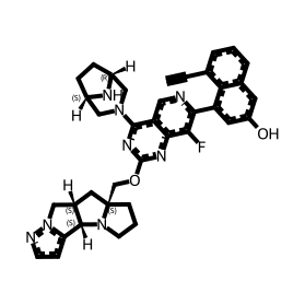 C#Cc1cccc2cc(O)cc(-c3ncc4c(N5C[C@H]6CC[C@@H](C5)N6)nc(OC[C@@]56CCCN5[C@@H]5c7ccnn7C[C@@H]5C6)nc4c3F)c12